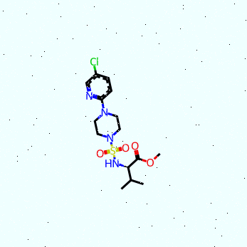 COC(=O)[C@H](NS(=O)(=O)N1CCN(c2ccc(Cl)cn2)CC1)C(C)C